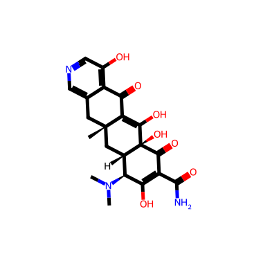 CN(C)[C@@H]1C(O)=C(C(N)=O)C(=O)[C@@]2(O)C(O)=C3C(=O)c4c(O)cncc4C[C@@]3(C)C[C@@H]12